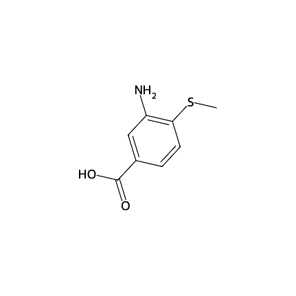 CSc1ccc(C(=O)O)cc1N